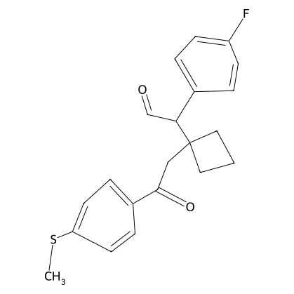 CSc1ccc(C(=O)CC2(C(C=O)c3ccc(F)cc3)CCC2)cc1